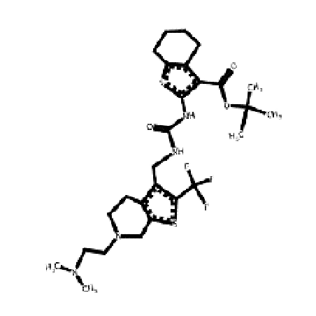 CN(C)CCN1CCc2c(sc(C(F)(F)F)c2CNC(=O)Nc2sc3c(c2C(=O)OC(C)(C)C)CCCC3)C1